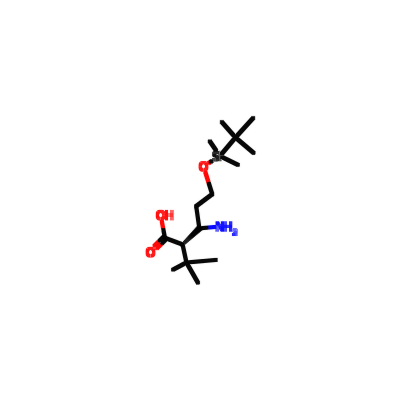 CC(C)(C)[C@@H](C(=O)O)C(N)CCO[Si](C)(C)C(C)(C)C